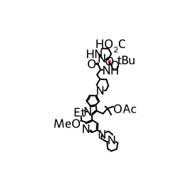 CCn1c(-c2cc(N3CCN4CCCCC4C3)cnc2[C@H](C)OC)c(CC(C)(C)COC(C)=O)c2cc(N3CCCC(CC(NC(=O)OC(C)(C)C)C(=O)N4CCCC(C(=O)O)N4)C3)ccc21